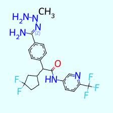 CN(N)/N=C(\N)c1ccc(C(C(=O)Nc2ccc(C(F)(F)F)nc2)C2CCC(F)(F)C2)cc1